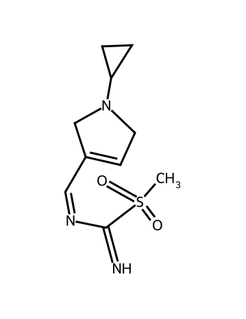 CS(=O)(=O)C(=N)/N=C\C1=CCN(C2CC2)C1